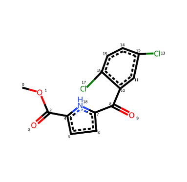 COC(=O)c1ccc(C(=O)c2cc(Cl)ccc2Cl)[nH]1